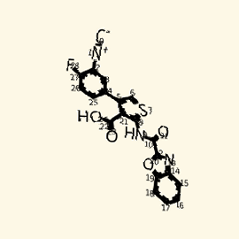 [C-]#[N+]c1cc(-c2csc(NC(=O)c3nc4ccccc4o3)c2C(=O)O)ccc1F